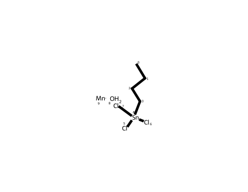 CCC[CH2][Sn]([Cl])([Cl])[Cl].O.[Mn]